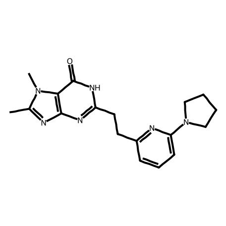 Cc1nc2nc(CCc3cccc(N4CCCC4)n3)[nH]c(=O)c2n1C